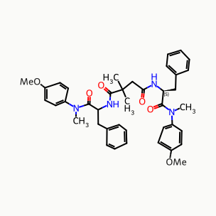 COc1ccc(N(C)C(=O)C(Cc2ccccc2)NC(=O)C(C)(C)CC(=O)N[C@@H](Cc2ccccc2)C(=O)N(C)c2ccc(OC)cc2)cc1